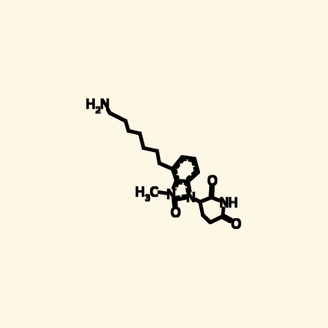 Cn1c(=O)n(C2CCC(=O)NC2=O)c2cccc(CCCCCCCN)c21